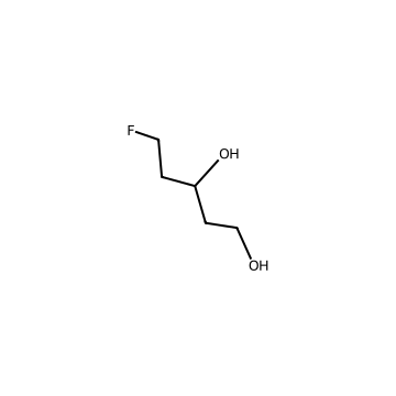 OCCC(O)CCF